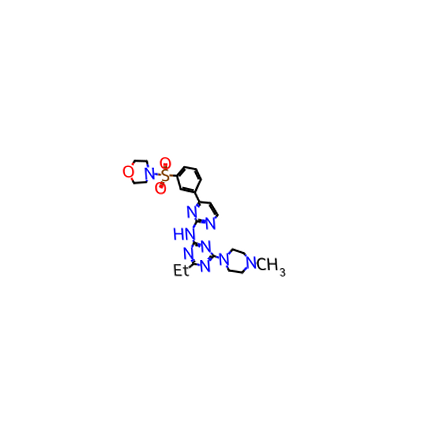 CCc1nc(Nc2nccc(-c3cccc(S(=O)(=O)N4CCOCC4)c3)n2)nc(N2CCN(C)CC2)n1